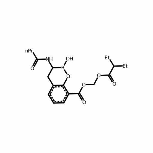 CCCC(=O)NC1Cc2cccc(C(=O)OCOC(=O)C(CC)CC)c2OB1O